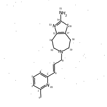 Cc1cccc(C=CCN2CCc3nc(N)sc3CC2)n1